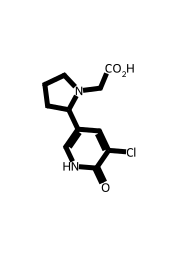 O=C(O)CN1CCCC1c1c[nH]c(=O)c(Cl)c1